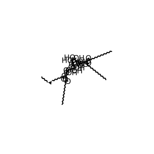 CCCCCCCCCCCCCCCC(=O)OC[C@H](COP(=O)(O)OCC1OC(OC2OC(COP(=O)(O)OC[C@@H](COC(=O)CCCCCCCCCCCCCCC)OC(=O)CCCCCCC[C@@H]3C[C@@H]3CCCCCC)C(O)C(O)C2O)C(O)C(O)C1O)OC(=O)CCCCCCCCCCCCCCC